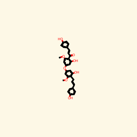 COc1cc(Oc2cc(O)c(C(=O)/C=C/c3ccc(O)cc3)c(OC)c2)cc(O)c1C/C=C/c1ccc(O)cc1